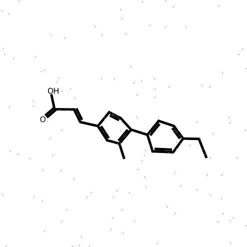 CCc1ccc(-c2ccc(/C=C/C(=O)O)cc2C)cc1